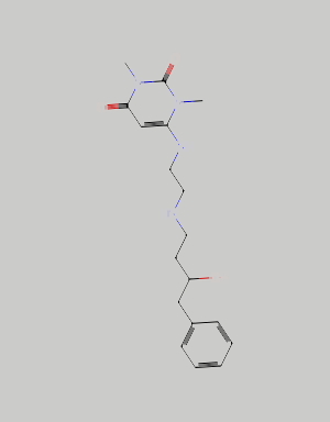 Cn1c(NCCNCCC(O)Cc2ccccc2)cc(=O)n(C)c1=O